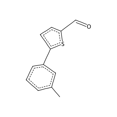 Cc1cccc(-c2ccc(C=O)s2)c1